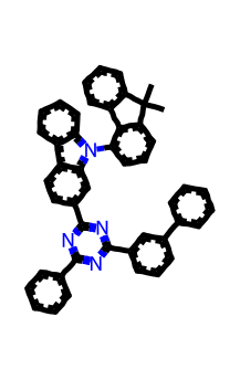 CC1(C)c2ccccc2-c2c(-n3c4ccccc4c4ccc(-c5nc(-c6ccccc6)nc(-c6cccc(-c7ccccc7)c6)n5)cc43)cccc21